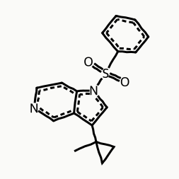 CC1(c2cn(S(=O)(=O)c3ccccc3)c3ccncc23)CC1